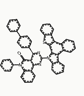 O=c1c2c(-c3ccc(-c4ccccc4)cc3)nc(-n3c4ccccc4c4c5ccccc5c5c6ccccc6sc5c43)nc2c2ccccc2n1-c1ccccc1